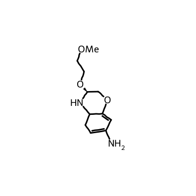 COCCO[C@H]1COC2=CC(N)=CCC2N1